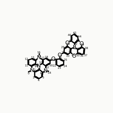 CN1c2cccc3c2N2c4c1cccc4N(C)c1cc(Oc4ccccc4Oc4cc5c6c(c4)Oc4cccc7c4B6c4c(cccc4O5)O7)cc(c12)N3C